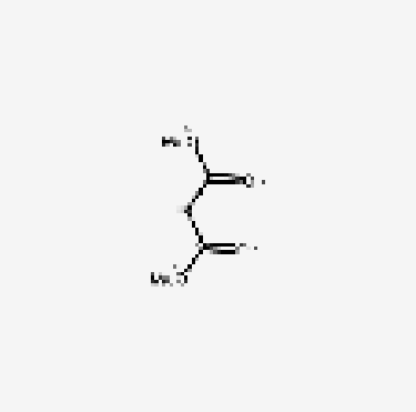 [CH2]OC(=O)CC(=O)OC